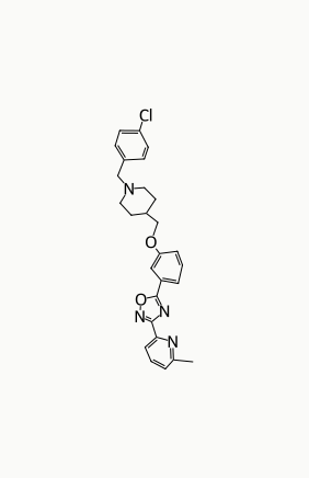 Cc1cccc(-c2noc(-c3cccc(OCC4CCN(Cc5ccc(Cl)cc5)CC4)c3)n2)n1